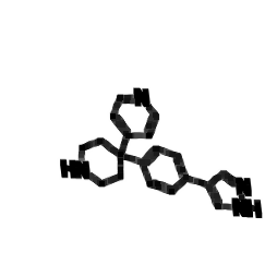 c1cc(C2(c3ccc(-c4cn[nH]c4)cc3)CCNCC2)ccn1